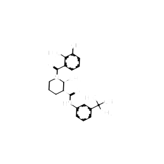 Cc1cccc(C(=O)N2CCC[C@H](C(=O)Nc3cccc(C(C)(C)C)c3)[C@@H]2C)c1C